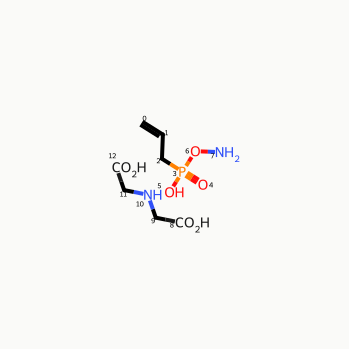 C=CCP(=O)(O)ON.O=C(O)CNCC(=O)O